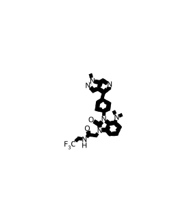 CN(C)c1cccc2c1n(-c1ccc(-c3cncc4c3cnn4C)cc1)c(=O)n2CC(=O)NCC(F)(F)F